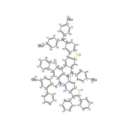 CC(C)(C)c1ccc(N2B3c4cc5sc(-c6ccccc6)c(-c6ccccc6)c5cc4N(Cc4ccc(C(C)(C)C)cc4-c4ccccc4)c4cc5c(oc6ccccc65)c(c43)-c3cc4c(cc32)sc2ccc(N(c3ccc(C(C)(C)C)cc3)c3ccc(C(C)(C)C)cc3)cc24)cc1